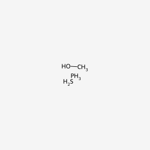 CO.P.S